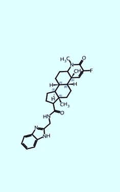 CN1C(=O)C(F)=C[C@@]2(C)C1CC[C@@H]1[C@H]2CC[C@]2(C)C(C(=O)NCc3nc4ccccc4[nH]3)CC[C@@H]12